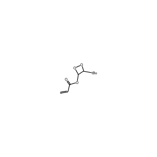 C=CC(=O)O[C]1OOC1C(C)(C)C